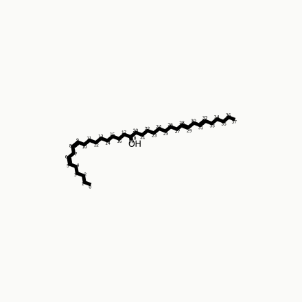 CCCCC/C=C\C/C=C\CCCCCCCCC(O)CCCCCCCC/C=C/C/C=C/CCCCC